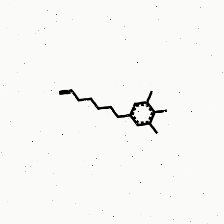 [CH]=CCCCCCc1cc(C)c(C)c(C)c1